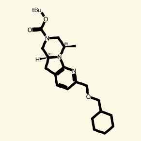 C[C@@H]1CN(C(=O)OC(C)(C)C)C[C@H]2Cc3ccc(COCC4CCCCC4)nc3N21